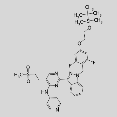 CC(C)(C)[Si](C)(C)OCCOc1cc(F)c(Cn2nc(-c3ncc(CCS(C)(=O)=O)c(Nc4ccncc4)n3)c3ccccc32)c(F)c1